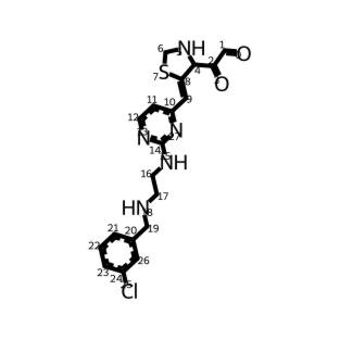 O=CC(=O)C1NCS/C1=C\c1ccnc(NCCNCc2cccc(Cl)c2)n1